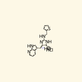 Cl.Cl.O=C1NC(NCc2cccs2)=N/C1=C\c1c[nH]c2ncccc12